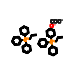 C=CC[P+](c1ccccc1)(c1ccccc1)c1ccccc1.C=CC[P+](c1ccccc1)(c1ccccc1)c1ccccc1.O=C([O-])[O-]